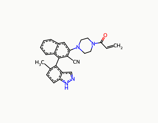 C=CC(=O)N1CCN(c2cc3ccccc3c(-c3c(C)ccc4[nH]ncc34)c2C#N)CC1